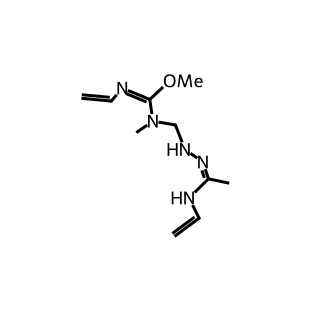 C=C/N=C(/OC)N(C)CN/N=C(/C)NC=C